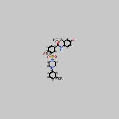 O=C(Nc1ccc(Br)cc1C(=O)O)c1ccc(Br)c(S(=O)(=O)N2CCN(c3cccc(C(F)(F)F)c3)CC2)c1